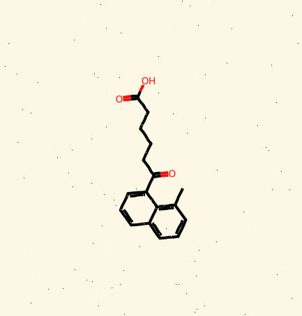 Cc1cccc2cccc(C(=O)CCCCC(=O)O)c12